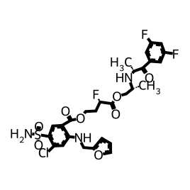 C[C@H](COC(=O)[C@@H](F)CCOC(=O)c1cc(S(N)(=O)=O)c(Cl)cc1NCc1ccco1)N[C@H](C)C(=O)c1cc(F)cc(F)c1